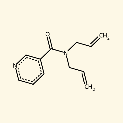 C=CCN(CC=C)C(=O)c1cccnc1